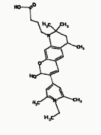 CC[n+]1c(C)cc(C2=Cc3cc4c(cc3OC2O)N(CCCC(=O)O)C(C)(C)CC4C)cc1C